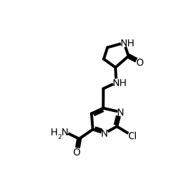 NC(=O)c1cc(CNC2CCNC2=O)nc(Cl)n1